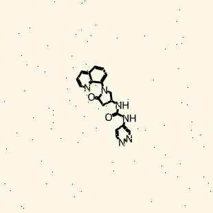 O=C(Nc1ccnnc1)NC1CC(=O)N(c2cccc3cccnc23)C1